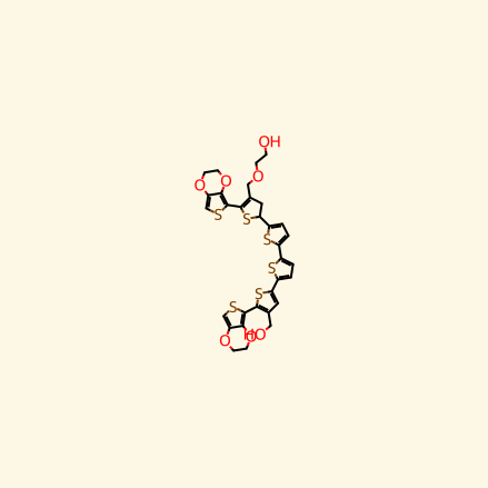 OCCOCC1=C(c2scc3c2OCCO3)SC(c2ccc(-c3ccc(-c4cc(CO)c(-c5scc6c5OCCO6)s4)s3)s2)C1